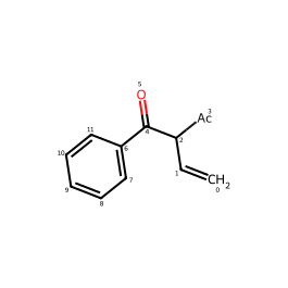 C=CC(C(C)=O)C(=O)c1ccccc1